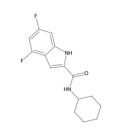 O=C(NC1CCCCC1)c1cc2c(F)cc(F)cc2[nH]1